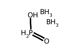 B.B.O=[PH2]O